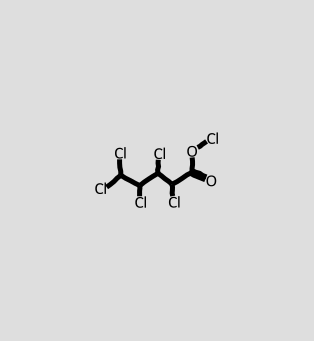 O=C(OCl)C(Cl)C(Cl)C(Cl)C(Cl)Cl